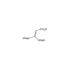 CCCCCCCC(=CC(=O)OCC)CCCCCCC